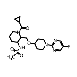 CS(=O)(=O)NC1CCCN(C(=O)C2CC2)C1COC1CCN(c2ncc(F)cn2)CC1